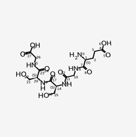 N[C@@H](CCC(=O)O)C(=O)NCC(=O)N[C@@H](CO)C(=O)N[C@@H](CO)C(=O)NCC(=O)O